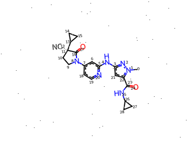 Cn1nc(Nc2cc(N3CC[C@@](C#N)(C4CC4)C3=O)ccn2)cc1C(=O)NC1CC1